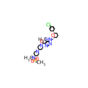 CCS(=O)(=O)N(C)C1CCN(C2CCN(C(=O)c3ncnc(NC[C@H]4CCC[C@@H](C5C=CC(Cl)=CC5)O4)c3C)CC2)CC1